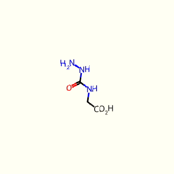 NNC(=O)NCC(=O)O